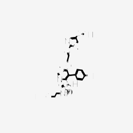 CCCNS(=O)(=O)Nc1ncnc(OCCOc2ncc(SC)cn2)c1-c1ccc(Cl)cc1